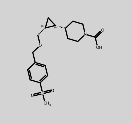 CS(=O)(=O)c1ccc(COC[C@@H]2C[C@@H]2C2CCN(C(=O)O)CC2)cc1